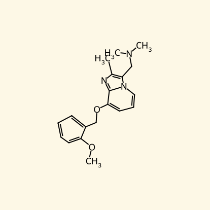 COc1ccccc1COc1cccn2c(CN(C)C)c(C)nc12